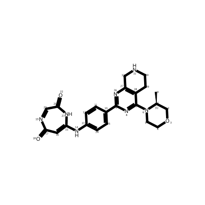 C[C@H]1COCCN1c1nc(-c2ccc(Nc3cc(=O)ncc(=O)[nH]3)cc2)nc2c1CCNC2